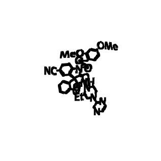 CCOc1ccccc1C1(C(=O)NN2CCN(c3cnccn3)CC2)C(=O)N(S(=O)(=O)c2ccc(OC)cc2OC)c2ccc(C#N)cc21